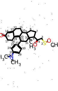 COSCC(=O)C1CCC2C3CCC4=CC(=O)CCC4=C3C(c3ccc(N(C)C)cc3)CC12C